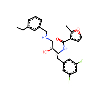 CCc1cccc(CNC[C@H](O)[C@H](Cc2cc(F)cc(F)c2)NC(=O)c2ccoc2C)c1